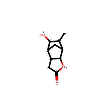 CC1C(O)C2CC1C1OC(=O)CC21